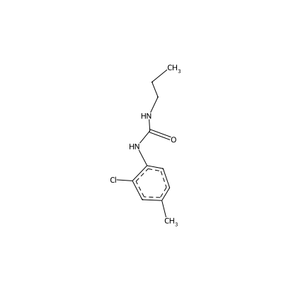 CCCNC(=O)Nc1ccc(C)cc1Cl